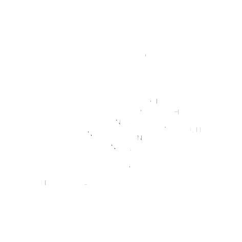 Cc1ccc(Nc2nc(=O)n(CC(C)(CO)CO)c(=O)n2Cc2ccc(Cl)cc2)cc1F